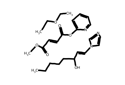 CCCCCC(O)/C=C/n1ccnc1.CCOCC.COC(=O)/C=C/C(=O)Oc1ccccn1